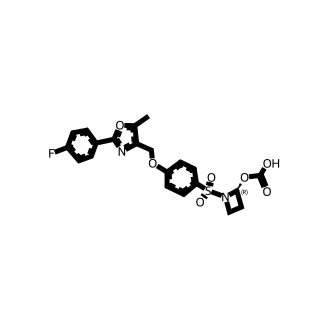 Cc1oc(-c2ccc(F)cc2)nc1COc1ccc(S(=O)(=O)N2CC[C@H]2OC(=O)O)cc1